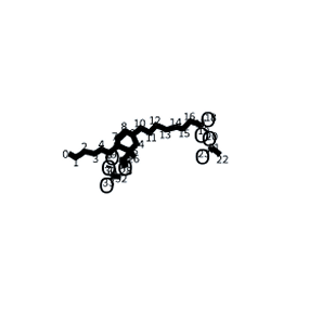 CCCCCCC1C=CC(CCCCCCCC(=O)OOC(C)=O)CC1(C)C(=O)OOC(C)=O